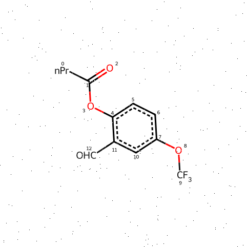 [CH2]CCC(=O)Oc1ccc(OC(F)(F)F)cc1C=O